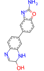 Nc1nc2cc(-c3ccc4c(c3)NC(O)C=N4)ccc2o1